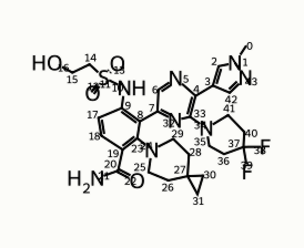 Cn1cc(-c2ncc(-c3c(NS(=O)(=O)CCO)ccc(C(N)=O)c3N3CCC4(CC3)CC4)nc2N2CCC(F)(F)CC2)cn1